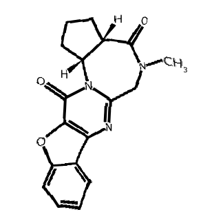 CN1Cc2nc3c(oc4ccccc43)c(=O)n2[C@@H]2CCC[C@@H]2C1=O